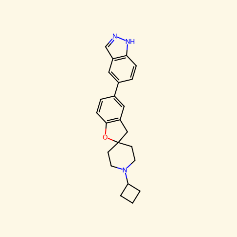 c1cc2c(cc1-c1ccc3[nH]ncc3c1)CC1(CCN(C3CCC3)CC1)O2